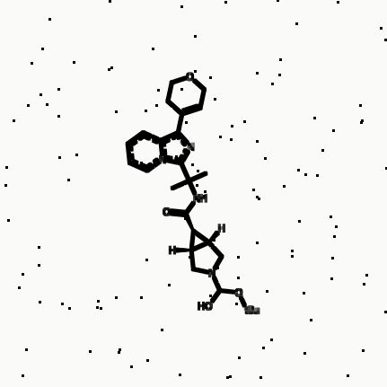 CC(C)(C)OC(O)N1C[C@@H]2[C@H](C1)[C@H]2C(=O)NC(C)(C)c1nc(C2=CCOCC2)c2ccccn12